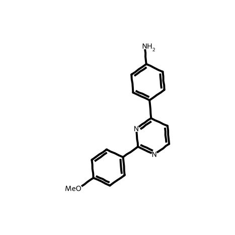 COc1ccc(-c2nccc(-c3ccc(N)cc3)n2)cc1